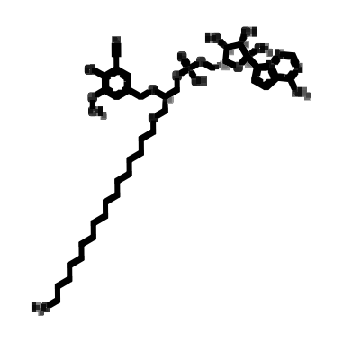 CCCCCCCCCCCCCCCCCCOC[C@H](COP(=O)(O)OC[C@H]1O[C@@](C)(c2ccc3c(N)ncnn23)[C@H](O)[C@@H]1O)OCc1cc(C#N)c(Cl)c(OC)c1